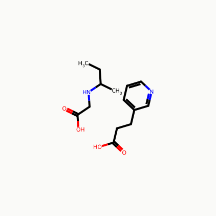 CCC(C)NCC(=O)O.O=C(O)CCc1cccnc1